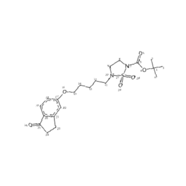 CC(C)(C)OC(=O)N1CCN(CCCCCOc2ccc3c(c2)CCC3=O)S1(=O)=O